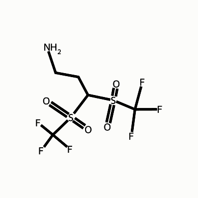 NCCC(S(=O)(=O)C(F)(F)F)S(=O)(=O)C(F)(F)F